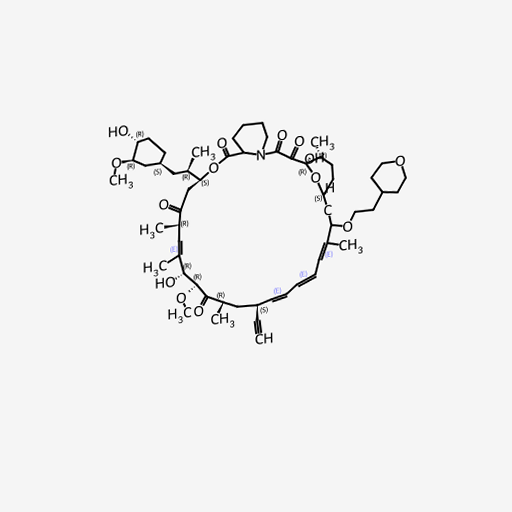 C#C[C@@H]1/C=C/C=C/C=C(\C)C(OCCC2CCOCC2)C[C@@H]2CC[C@@H](C)[C@@](O)(O2)C(=O)C(=O)N2CCCCC2C(=O)O[C@H]([C@H](C)C[C@@H]2CC[C@@H](O)[C@H](OC)C2)CC(=O)[C@H](C)/C=C(\C)[C@@H](O)[C@@H](OC)C(=O)[C@H](C)C1